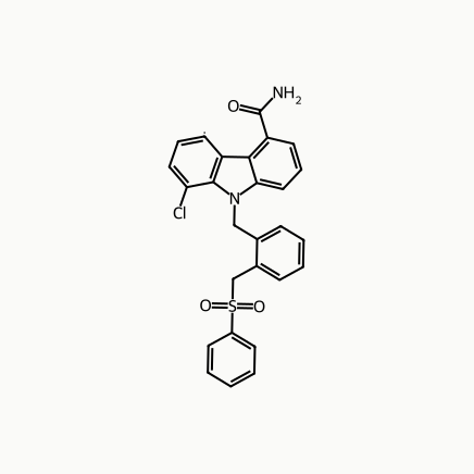 NC(=O)c1cccc2c1c1[c]ccc(Cl)c1n2Cc1ccccc1CS(=O)(=O)c1ccccc1